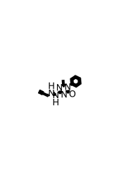 C#CCNNc1nc(C)n(-c2ccccc2)c(=O)n1